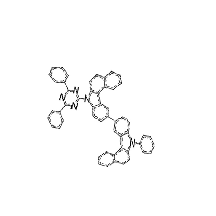 c1ccc(-c2nc(-c3ccccc3)nc(-n3c4ccc(-c5ccc6c(c5)c5c7ccccc7ccc5n6-c5ccccc5)cc4c4c5ccccc5ccc43)n2)cc1